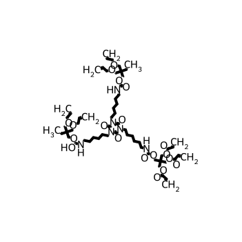 C=CCOCC(CC)(COCC=C)COC(=O)NCCCCCCn1c(=O)n(CCCCCCNC(=O)OCC(COC(=O)C=C)(COC(=O)C=C)COC(=O)C=C)c(=O)n(CCCCCCNC(O)OCC(CC)(COCC=C)COCC=C)c1=O